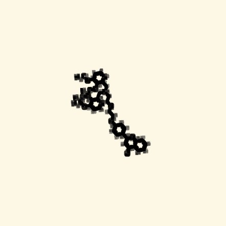 COc1ccnc(CN(CCOCCOc2ccc(-c3cc(=O)c4ccccc4o3)cc2)Cc2nccc(OC)c2OC)c1OC